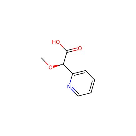 CO[C@@H](C(=O)O)c1ccccn1